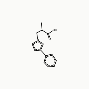 CC(Cn1ccc(-c2ccccc2)n1)C(=O)O